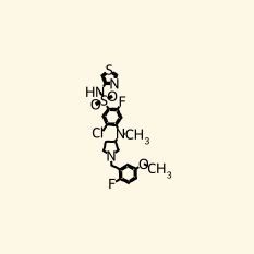 COc1ccc(F)c(CN2CCC(N(C)c3cc(F)c(S(=O)(=O)Nc4cscn4)cc3Cl)C2)c1